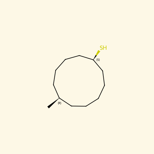 C[C@@H]1CCCCC[C@H](S)CCCC1